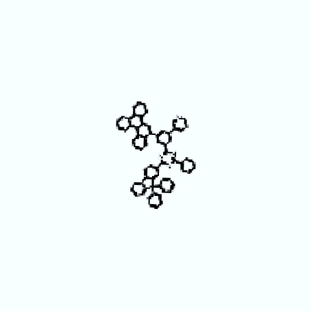 c1ccc(-c2nc(-c3cc(-c4cccnc4)cc(-c4cc5c6ccccc6c6ccccc6c5c5ccccc45)c3)nc(-c3ccc4c(c3)C(c3ccccc3)(c3ccccc3)c3ccccc3-4)n2)cc1